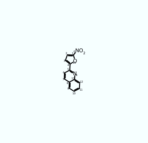 O=[N+]([O-])c1ccc(-c2ccc3ccccc3n2)o1